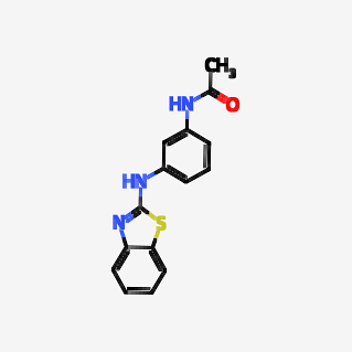 CC(=O)Nc1cccc(Nc2nc3ccccc3s2)c1